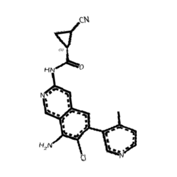 Cc1ccncc1-c1cc2cc(NC(=O)[C@H]3CC3C#N)ncc2c(N)c1Cl